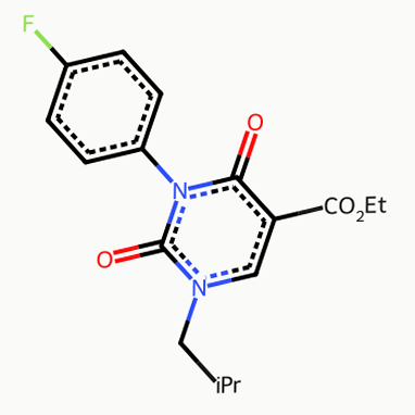 CCOC(=O)c1cn(CC(C)C)c(=O)n(-c2ccc(F)cc2)c1=O